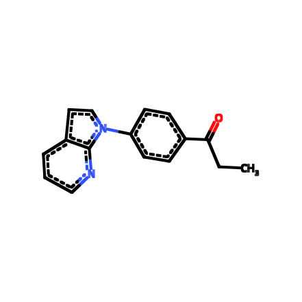 CCC(=O)c1ccc(-n2ccc3cccnc32)cc1